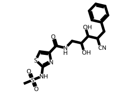 CS(=O)(=O)Nc1nc(C(=O)NCC(O)C(O)C(C#N)Cc2ccccc2)cs1